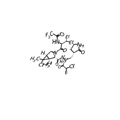 CCC(CC)C(NC(=O)C(F)(F)F)C(=O)N1C[C@H]2[C@@H]([C@H]1C(=O)NN(C[C@@H]1CCNC1=O)C(=O)C(F)Cl)C2(C)C